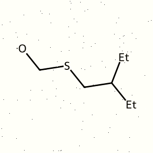 CCC(CC)CSC[O]